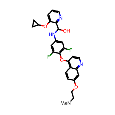 CNCCOc1ccc2c(Oc3c(F)cc(NC(O)c4ncccc4OC4CC4)cc3F)ccnc2c1